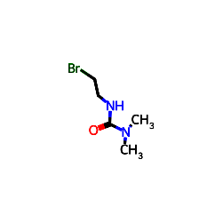 CN(C)C(=O)NCCBr